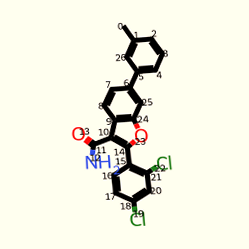 Cc1cccc(-c2ccc3c(C(N)=O)c(-c4ccc(Cl)cc4Cl)oc3c2)c1